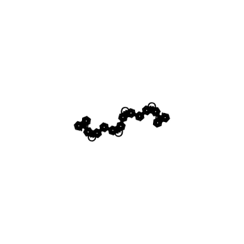 c1cc(-c2ccc3oc4ccc(-c5ccc6oc7ccc(-c8cccc(-c9ccc%10oc%11ccc(-n%12c%13ccccc%13c%13ccccc%13%12)cc%11c%10c9)c8)cc7c6c5)cc4c3c2)cc(-c2ccc3oc4ccc(-n5c6ccccc6c6ccccc65)cc4c3c2)c1